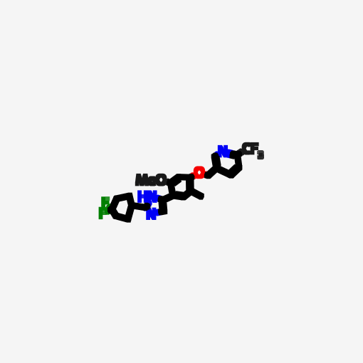 COc1cc(OCc2ccc(C(F)(F)F)nc2)c(C)cc1-c1cnc(C2CCC(F)(F)CC2)[nH]1